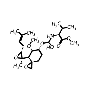 COC(=O)[C@@H](N[C@@H](O)O[C@@H]1CC[C@]2(CO2)[C@@H]([C@@]2(C)O[C@@H]2CC=C(C)C)[C@@H]1OC)C(C)C